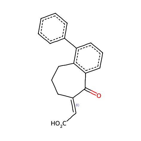 O=C(O)/C=C1\CCCc2c(cccc2-c2ccccc2)C1=O